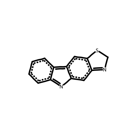 c1ccc2c(c1)=Nc1cc3c(cc1=2)SCN=3